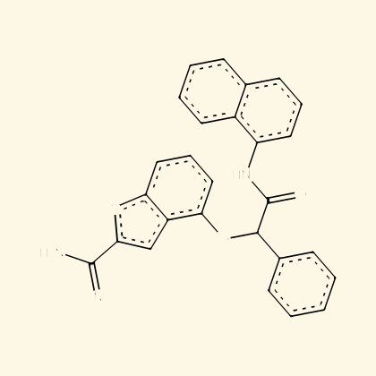 N=C(N)c1cc2c(OC(C(=O)Nc3cccc4ccccc34)c3ccccc3)cccc2s1